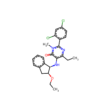 CCO[C@H]1Cc2ccccc2[C@H]1Nc1c(CC)nc(-c2ccc(Cl)cc2Cl)n(C)c1=O